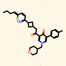 CCC/C=C(Cl)/C=C\C(=N)C1CC(CC(=O)c2cn(CC3CCOCC3)cc(-c3ccc(C)cc3)c2=O)C1